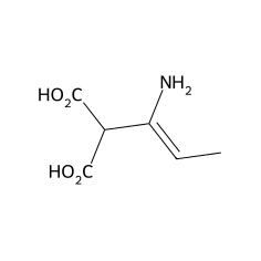 CC=C(N)C(C(=O)O)C(=O)O